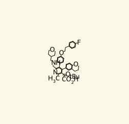 Cc1nc(CNCC2CCOCC2)c(-c2ccc(OCCc3ccc(F)cc3)cc2)c(-c2ccc3c(c2)CCCO3)c1[C@H](OC(C)(C)C)C(=O)O